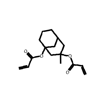 C=CC(=O)OC1(C)CC2CCCC(OC(=O)C=C)(C2)C1